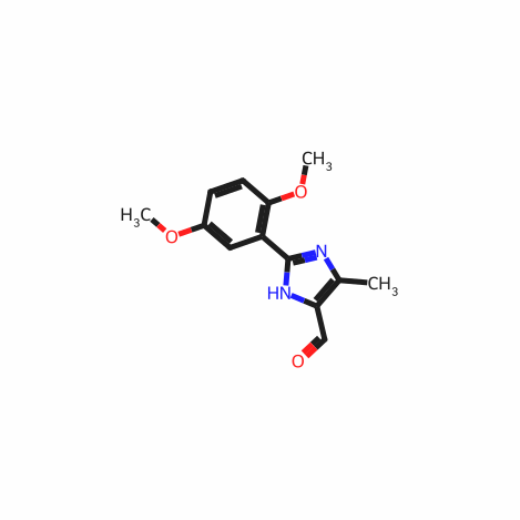 COc1ccc(OC)c(-c2nc(C)c(C=O)[nH]2)c1